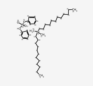 CCCCCCCCCCCC[N+](C)(C)CCCCCCCCCCCC.O=P([O-])(Oc1ccccc1)Oc1ccccc1